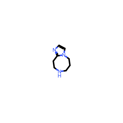 c1cn2c(n1)CCNCCC2